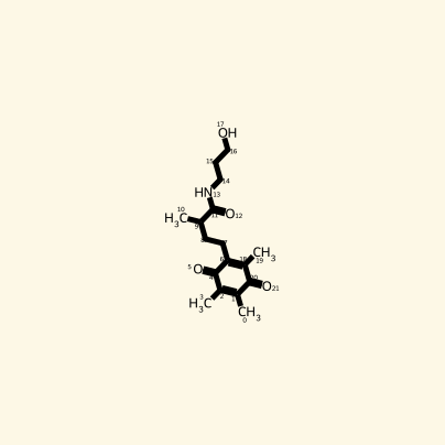 CC1=C(C)C(=O)C(CCC(C)C(=O)NCCCO)=C(C)C1=O